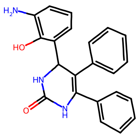 Nc1cccc(C2NC(=O)NC(c3ccccc3)=C2c2ccccc2)c1O